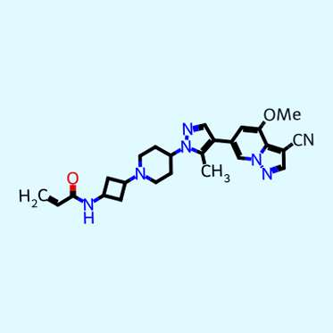 C=CC(=O)NC1CC(N2CCC(n3ncc(-c4cc(OC)c5c(C#N)cnn5c4)c3C)CC2)C1